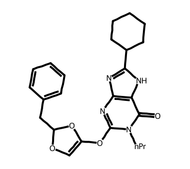 CCCn1c(OC2=COC(Cc3ccccc3)O2)nc2nc(C3CCCCC3)[nH]c2c1=O